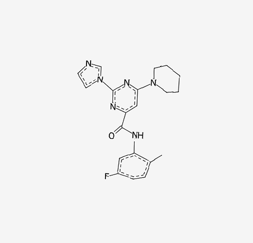 Cc1ccc(F)cc1NC(=O)c1cc(N2CCCCC2)nc(-n2ccnc2)n1